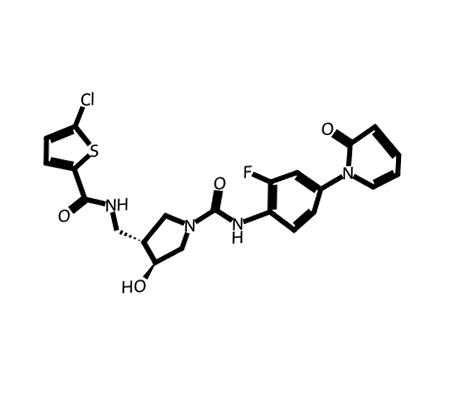 O=C(NC[C@@H]1CN(C(=O)Nc2ccc(-n3ccccc3=O)cc2F)C[C@H]1O)c1ccc(Cl)s1